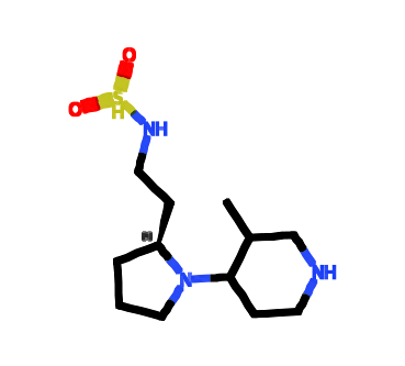 CC1CNCCC1N1CCC[C@H]1CCN[SH](=O)=O